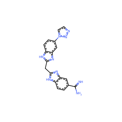 N=C(N)c1ccc2[nH]c(Cc3nc4cc(-n5ccnn5)ccc4[nH]3)nc2c1